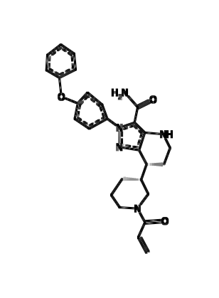 C=CC(=O)N1CCC[C@H]([C@H]2CCNc3c2nn(-c2ccc(Oc4ccccc4)cc2)c3C(N)=O)C1